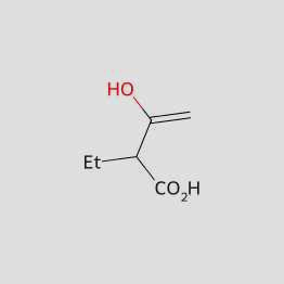 C=C(O)C(CC)C(=O)O